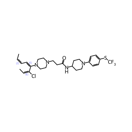 C\C=C/C=C(\C(Cl)=C/C)N1CCN(CCC(=O)NC2CCN(c3ccc(SC(F)(F)F)cc3)CC2)CC1